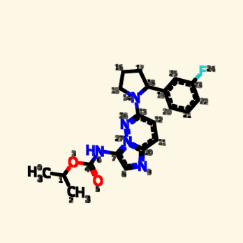 CC(C)OC(=O)Nc1cnc2ccc(N3CCCC3c3cccc(F)c3)nn12